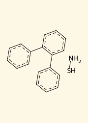 NS.c1ccc(-c2ccccc2-c2ccccc2)cc1